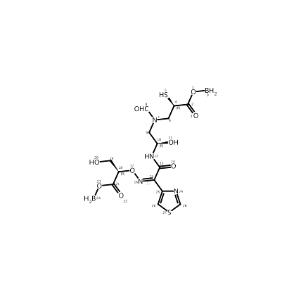 BOC(=O)[C@H](S)CN(C=O)C[C@@H](O)NC(=O)/C(=N\O[C@H](CO)C(=O)OB)c1cscn1